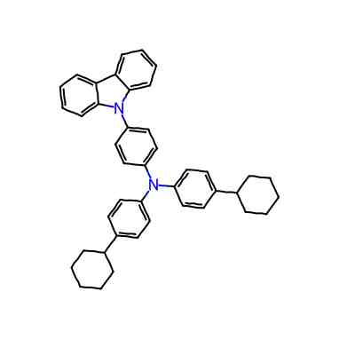 c1ccc2c(c1)c1ccccc1n2-c1ccc(N(c2ccc(C3CCCCC3)cc2)c2ccc(C3CCCCC3)cc2)cc1